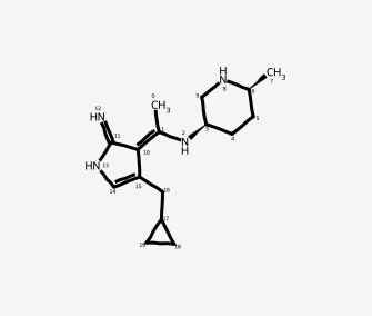 C/C(N[C@@H]1CC[C@H](C)NC1)=C1\C(=N)NC=C1CC1CC1